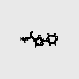 C[C@H](N)c1cnc(N2CCOCC2)s1